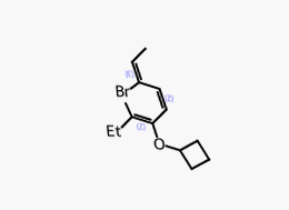 C\C=C(Br)/C=C\C(OC1CCC1)=C(/C)CC